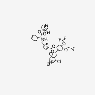 O=C(O[C@@H](Cc1c(Cl)c[n+]([O-])cc1Cl)c1ccc(OC(F)F)c(OCC2CC2)c1)c1ccc(CNC(C(=O)O[C@H]2CN3CCC2CC3)c2ccccc2)s1